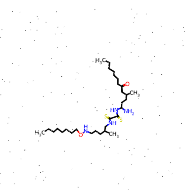 CCCCCCCCONCCCC(C)CNC(=S)C(=S)NC(N)CCC(C)CC(=O)CCCCCCC